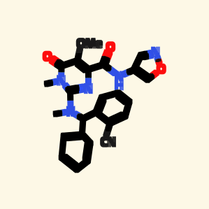 COc1c(C(=O)Nc2cnoc2)nc(N(C)C(c2ccccc2)c2ccccc2C#N)n(C)c1=O